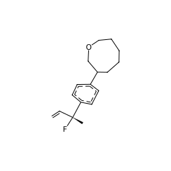 C=C[C@@](C)(F)c1ccc(C2CCCCCOC2)cc1